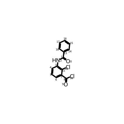 O=C(Nc1cccc(C(=O)Cl)c1Cl)c1ccccc1